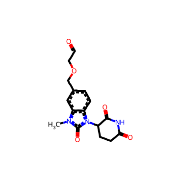 Cn1c(=O)n(C2CCC(=O)NC2=O)c2ccc(COCC=O)cc21